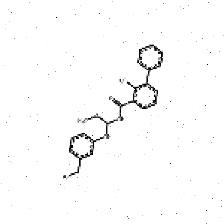 CSC(NC(=O)c1cccc(-c2ccccc2)c1C)Nc1cccc(CO)c1